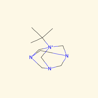 CC(C)(C)[N+]12CN3CN(CN(C3)C1)C2